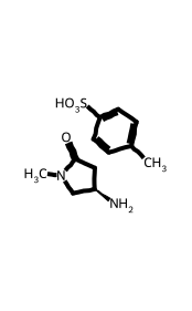 CN1C[C@H](N)CC1=O.Cc1ccc(S(=O)(=O)O)cc1